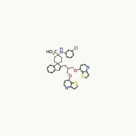 O=C(O)C1(Nc2cccc(Cl)c2)CCC2(CC1)C(CC(COc1ccnc3ccsc13)COc1ccnc3ccsc13)=Cc1ccccc12